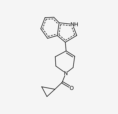 O=C(C1CC1)N1CC=C(c2c[nH]c3ccccc23)CC1